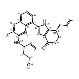 C=CC[C@H]1CNC(=O)c2cc(-c3cccc4nc(C)c(NC(C=C)CCO)nc34)[nH]c21